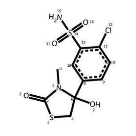 CN1C(=O)SCC1(O)c1ccc(Cl)c(S(N)(=O)=O)c1